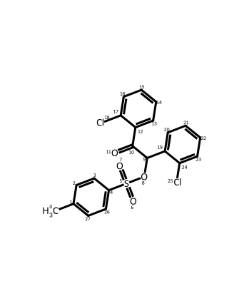 Cc1ccc(S(=O)(=O)OC(C(=O)c2ccccc2Cl)c2ccccc2Cl)cc1